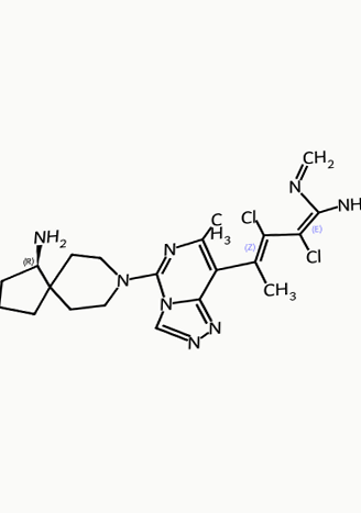 C=N/C(N)=C(Cl)\C(Cl)=C(/C)c1c(C)nc(N2CCC3(CCC[C@H]3N)CC2)n2cnnc12